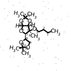 CCCCO[C@@]1(C)[C@@H](C2COC(C)(C)O2)O[C@@H]2OC(C)(C)O[C@@H]21